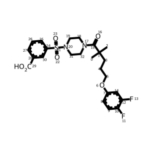 CC(C)(CCCOc1ccc(F)c(F)c1)C(=O)N1CCN(S(=O)(=O)c2cccc(C(=O)O)c2)CC1